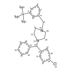 [2H]C([2H])([2H])c1cccc(CN2CCN(C(c3ccccc3)c3ccc(Cl)cc3)CC2)c1